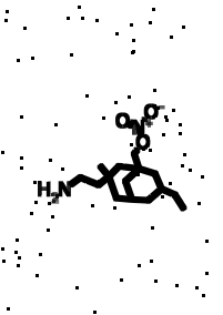 CCC1CC2CC(C)(CCN)CC(CO[N+](=O)[O-])(C1)C2